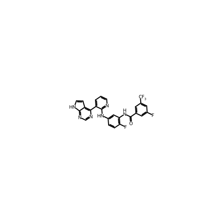 O=C(Nc1cc(Nc2ncccc2-c2ncnc3[nH]ccc23)ccc1F)c1cc(F)cc(C(F)(F)F)c1